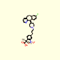 CC(C)(C(=O)O)c1ccc(CCCN2CCC(=C3c4ccc(Cl)cc4CCc4cccnc43)CC2)cc1[N+](=O)[O-]